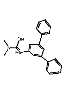 CN(C)C(O)=[SH]c1cc(-c2ccccc2)cc(-c2ccccc2)c1